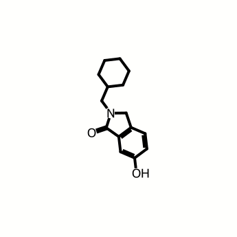 O=C1c2cc(O)ccc2CN1CC1CCCCC1